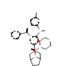 CN(c1ccc(Cl)s1)c1cc(C2CC3CCC(C2)N3C(=O)N2CCOCC2)nn1C(=O)c1cscn1